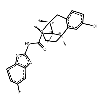 CN1CC[C@]2(C)c3cc(O)ccc3C[C@@H]1[C@@H]2N(C)C(=O)Nc1nc2ccc(F)cc2s1